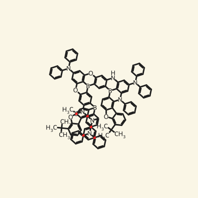 CSN1c2cc3c(cc2B2c4ccc5oc6c(C(C)(C)C)cccc6c5c4N(c4ccccc4)c4cc(N(c5ccccc5)c5ccccc5)cc1c42)B1c2cc4c(cc2Oc2cc(N(c5ccccc5)c5ccccc5)cc(c21)O3)Nc1cc(N(c2ccccc2)c2ccccc2)cc2c1B4c1ccc3oc4c(C(C)(C)C)cccc4c3c1N2c1ccccc1